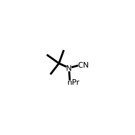 CCCN(C#N)C(C)(C)C